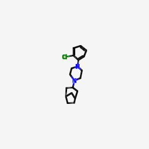 Clc1ccccc1N1CCN(C2CC3CCC(C3)C2)CC1